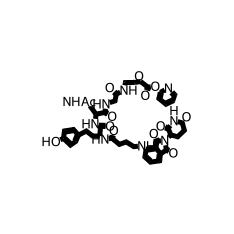 CC(=O)NCC(NC(=O)C(CCc1ccc(O)cc1)NC(=O)CCCNc1cccc2c1C(=O)N(C1CCC(=O)NC1=O)C2=O)C(=O)NCC(=O)NCC1OC1C(=O)Oc1ccccn1